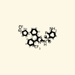 Nc1cccc(S(=O)(=O)Nc2nc(-c3ccccc3C(F)(F)F)c(-c3cccc([C@@H]4CC[C@H](OC(F)(F)F)C4)c3)s2)c1F